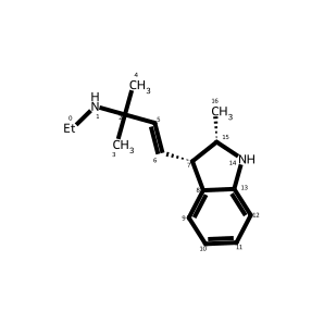 CCNC(C)(C)/C=C/[C@H]1c2ccccc2N[C@H]1C